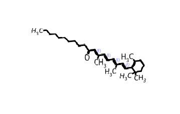 CCCCCCCCCCC(=O)/C=C(C)/C=C/C=C(C)/C=C/C1=C(C)CCCC1(C)C